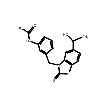 CC(O)c1ccc2oc(=O)n(Cc3cccc(NC(=O)O)c3)c2c1